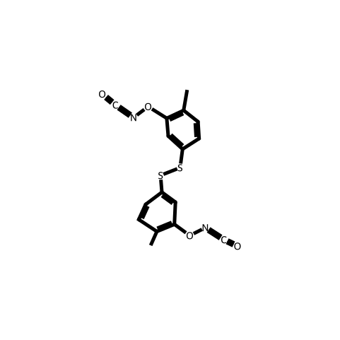 Cc1ccc(SSc2ccc(C)c(ON=C=O)c2)cc1ON=C=O